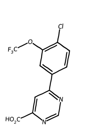 O=C(O)c1cc(-c2ccc(Cl)c(OC(F)(F)F)c2)ncn1